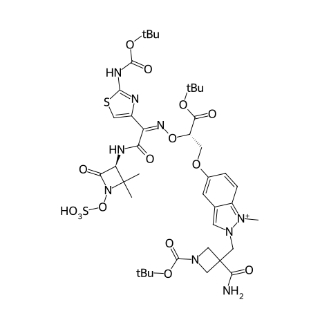 C[n+]1c2ccc(OC[C@H](O/N=C(\C(=O)N[C@@H]3C(=O)N(OS(=O)(=O)O)C3(C)C)c3csc(NC(=O)OC(C)(C)C)n3)C(=O)OC(C)(C)C)cc2cn1CC1(C(N)=O)CN(C(=O)OC(C)(C)C)C1